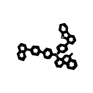 Cc1cc2c(N(c3ccc(-c4ccc(-c5cccc6ccccc56)cc4)cc3)c3ccc(-c4cccc5c4OC4C=CC=CC54)cc3)cccc2c2ccccc12